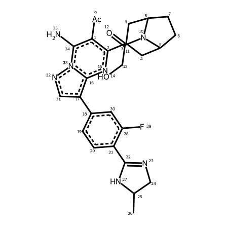 CC(=O)c1c(C2CC3CCC(C2)N3C(=O)CO)nc2c(-c3ccc(C4=NCC(C)N4)c(F)c3)cnn2c1N